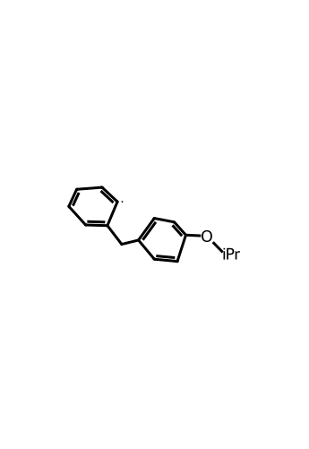 CC(C)Oc1ccc(Cc2[c]cccc2)cc1